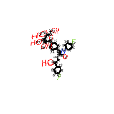 O=C1[C@H](CC[C@H](O)c2ccc(F)cc2)[C@@H](c2ccc([C@@H]3O[C@H](CO)[C@@H](O)[C@H](O)[C@H]3O)cc2)N1c1ccc(F)cc1